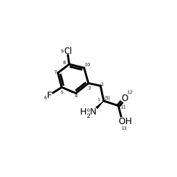 N[C@@H](Cc1cc(F)cc(Cl)c1)C(=O)O